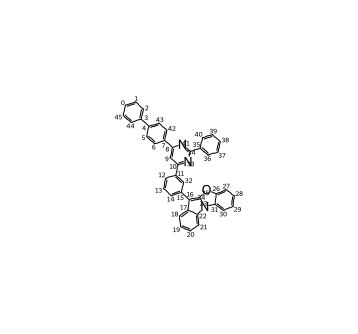 c1ccc(-c2ccc(-c3cc(-c4cccc(-c5c6ccccc6n6c5oc5ccccc56)c4)nc(-c4ccccc4)n3)cc2)cc1